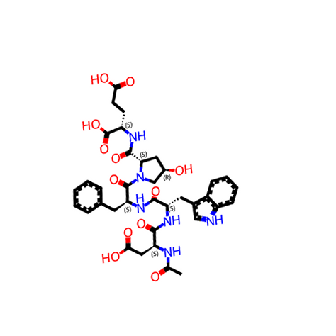 CC(=O)N[C@@H](CC(=O)O)C(=O)N[C@@H](Cc1c[nH]c2ccccc12)C(=O)N[C@@H](Cc1ccccc1)C(=O)N1C[C@H](O)C[C@H]1C(=O)N[C@@H](CCC(=O)O)C(=O)O